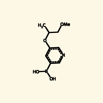 COCC(C)Oc1cncc(B(O)O)c1